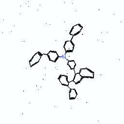 c1ccc(-c2ccc(N(c3ccc(-c4ccccc4)cc3)c3ccc(-c4c(-c5ccccc5-c5ccccc5)ccc5ccccc45)cc3)cc2)cc1